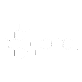 CN(C(=O)c1ccc(Oc2ccc(F)cc2)cc1)[C@@H]1COCc2[nH]c(=O)c3cc(F)c(F)cc3c21